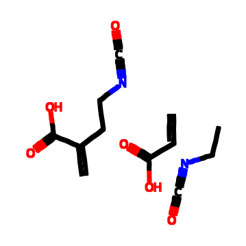 C=C(CCN=C=O)C(=O)O.C=CC(=O)O.CCN=C=O